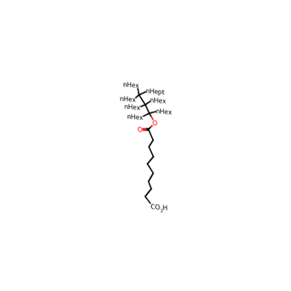 CCCCCCCC(CCCCCC)(CCCCCC)C(CCCCCC)(CCCCCC)C(CCCCCC)(CCCCCC)OC(=O)CCCCCCCCC(=O)O